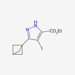 CCOC(=O)c1[nH]nc(C23CC(C2)C3)c1I